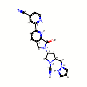 N#Cc1ccnc(-c2ccc3c(n2)C(=O)N([C@@H]2C[C@@H](Cn4cccn4)N(C#N)C2)C3)c1